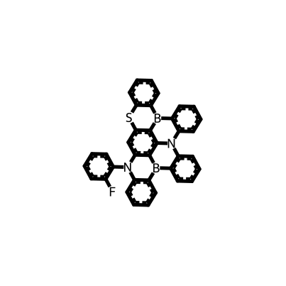 Fc1ccccc1N1c2ccccc2B2c3ccccc3N3c4ccccc4B4c5ccccc5Sc5cc1c2c3c54